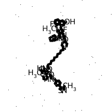 CCc1c(F)ccc2cc(O)cc(-c3ncc4c(N5CC6CCC(C5)N6)nc(OC5CCN(CCCCCCCCCCC(=O)NC(C(=O)N6CCC[C@H]6C(=O)NCc6ccc(-c7scnc7C)cc6)C(C)(C)C)CC5)nc4c3F)c12